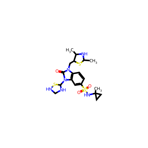 CC1NC(C)C(Cn2c(=O)n(C3NCNS3)c3cc(S(=O)(=O)NC4(C)CC4)ccc32)S1